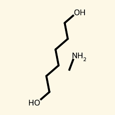 CN.OCCCCCCO